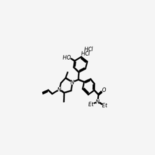 C=CCN1CC(C)N(C(c2ccc(C(=O)N(CC)CC)cc2)c2cccc(O)c2)CC1C.Cl.Cl